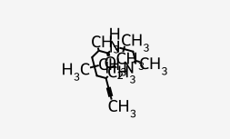 CC#CC(C)CC(C)(C)CC(C)C(=O)NC(C)(C)CC(C)N